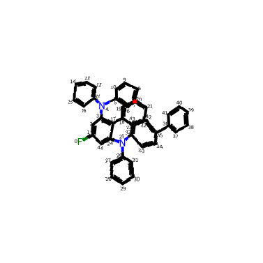 Fc1cc(N(c2ccccc2)c2ccccc2)c(-c2ccccc2)c(N(c2ccccc2)c2ccc(-c3ccccc3)cc2)c1